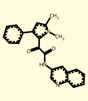 Cc1cc(-c2ccccc2)c(C(=O)C(=O)Nc2cnc3ccccc3c2)n1C